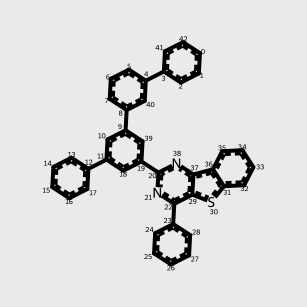 c1ccc(-c2cccc(-c3cc(-c4ccccc4)cc(-c4nc(-c5ccccc5)c5sc6ccccc6c5n4)c3)c2)cc1